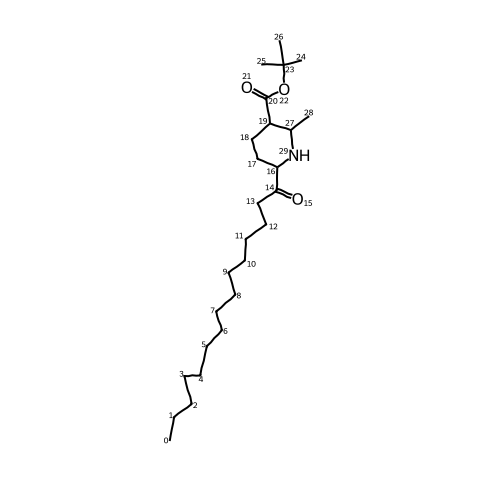 CCCCCCCCCCCCCCC(=O)C1CCC(C(=O)OC(C)(C)C)C(C)N1